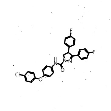 O=C(Nc1ccc(Oc2ccc(Cl)cc2)cc1)N1CC(c2ccc(F)cc2)C(c2ccc(F)cc2)=N1